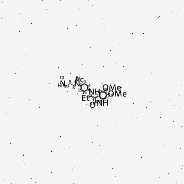 CCC(Nc1ccc(N(CCCN(C)C)C(C)=O)cc1)=C1C(=O)Nc2cc(OC)c(OC)cc21